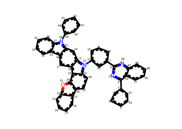 c1ccc(-c2nc(-c3cccc(-n4c5cc6c(cc5c5c7oc8ccccc8c7ccc54)c4ccccc4n6-c4ccccc4)c3)nc3ccccc23)cc1